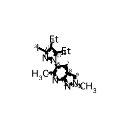 CCc1c(I)nn(-c2cc3cn(C)nc3nc2C)c1CC